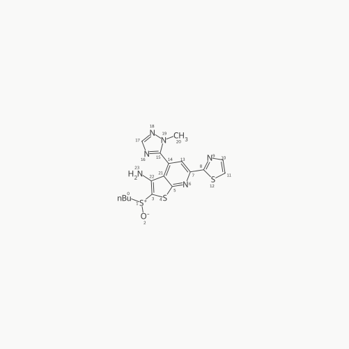 CCCC[S+]([O-])c1sc2nc(-c3nccs3)cc(-c3ncnn3C)c2c1N